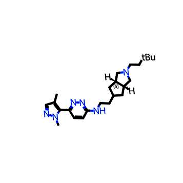 Cc1cnn(C)c1-c1ccc(NCCC2C[C@@H]3CN(CCC(C)(C)C)C[C@@H]3C2)nn1